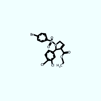 CCOC(=O)C1=CCN(S(=O)(=O)c2ccc(Br)cc2)C1c1ccc(Cl)c(Cl)c1